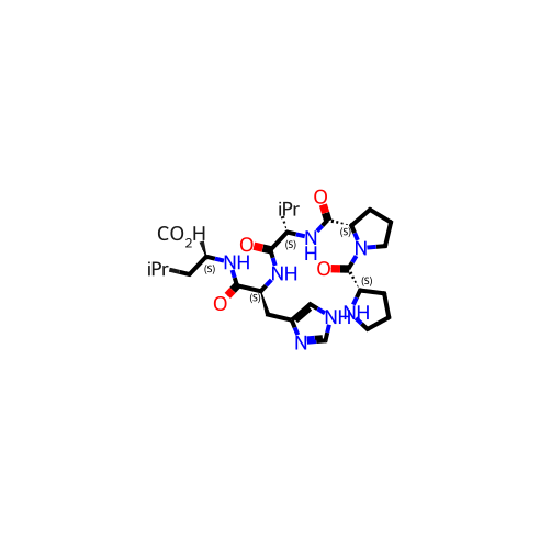 CC(C)C[C@H](NC(=O)[C@H](Cc1c[nH]cn1)NC(=O)[C@@H](NC(=O)[C@@H]1CCCN1C(=O)[C@@H]1CCCN1)C(C)C)C(=O)O